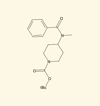 CN(C(=O)c1ccccc1)C1CCN(C(=O)OC(C)(C)C)CC1